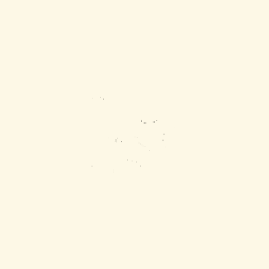 N#CCCCn1c(CO)cc2cc(Cl)ccc21